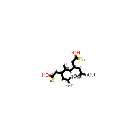 CCCCCCCCC(CC)CC(CC(O)=S)CC(C)C(CC(O)=S)CC(CC)CCCCCCCC